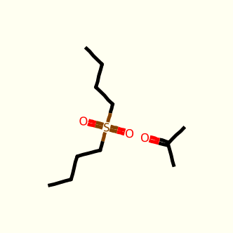 CC(C)=O.CCCCS(=O)(=O)CCCC